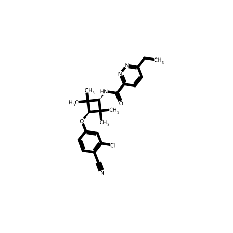 CCc1ccc(C(=O)N[C@H]2C(C)(C)[C@H](Oc3ccc(C#N)c(Cl)c3)C2(C)C)nn1